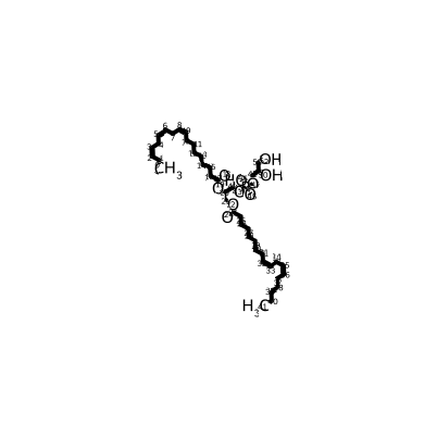 CC/C=C\C/C=C\C/C=C\CCCCCCCC(=O)O[C@H](COC(=O)CCCCCCC/C=C\C/C=C\CCCCC)COP(=O)(O)OC[C@@H](O)CO